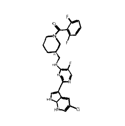 O=C(c1c(F)cccc1F)N1CCC[C@H](CNc2nc(C3=CNC4NC=C(Cl)C=C34)ncc2F)C1